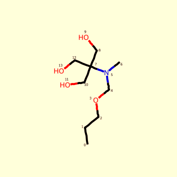 CCCOCN(C)C(CO)(CO)CO